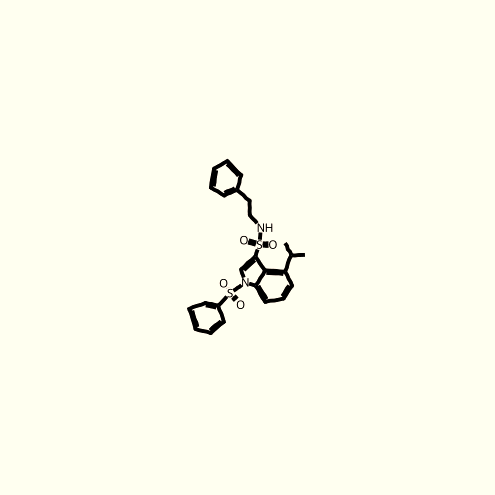 CC(C)c1cccc2c1c(S(=O)(=O)NCCc1ccccc1)cn2S(=O)(=O)c1ccccc1